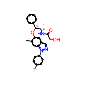 Cc1cc2c(cnn2-c2ccc(F)cc2)cc1O[C@@H](c1ccccc1)[C@H](C)NC(=O)CO